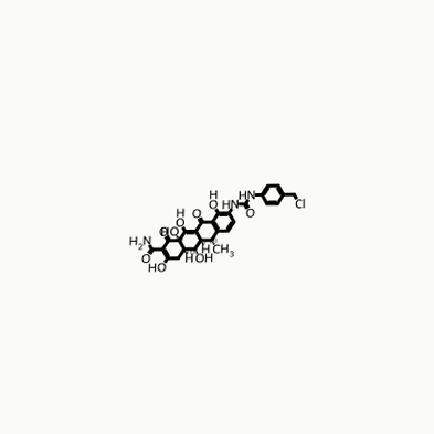 C[C@H]1c2ccc(NC(=O)Nc3ccc(CCl)cc3)c(O)c2C(=O)C2=C(O)[C@]3(O)C(=O)C(C(N)=O)=C(O)C[C@@H]3[C@@H](O)[C@@H]21